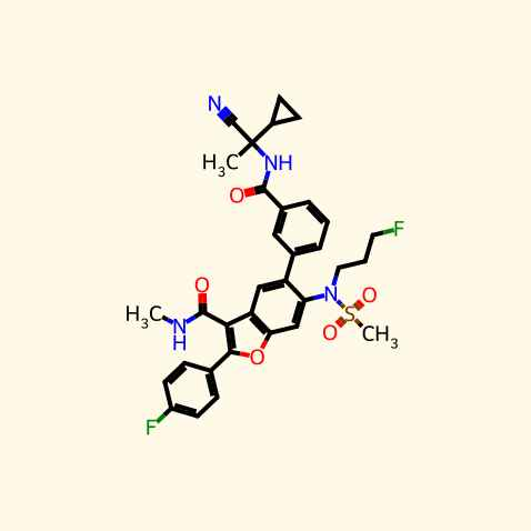 CNC(=O)c1c(-c2ccc(F)cc2)oc2cc(N(CCCF)S(C)(=O)=O)c(-c3cccc(C(=O)NC(C)(C#N)C4CC4)c3)cc12